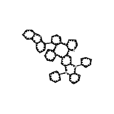 c1ccc(-n2c3ccccc3n(-c3ccccc3)c3cc4c(cc32)c2ccccc2c2c(-c3cccc5c3sc3ccccc35)cccc2c2cccnc42)cc1